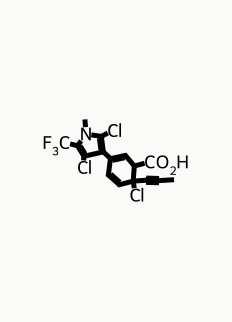 CC#CC1(Cl)C=CC(c2c(Cl)c(C(F)(F)F)n(C)c2Cl)=CC1C(=O)O